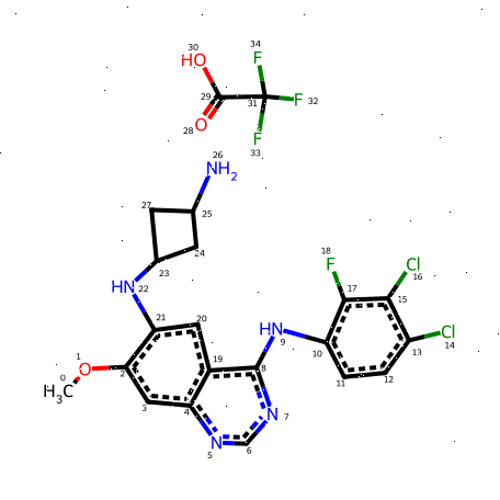 COc1cc2ncnc(Nc3ccc(Cl)c(Cl)c3F)c2cc1NC1CC(N)C1.O=C(O)C(F)(F)F